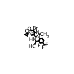 C#CC(Nc1nc(C)nc2c(Br)c(=O)n(C3(C)CC3)cc12)c1cccc(C(F)F)c1F